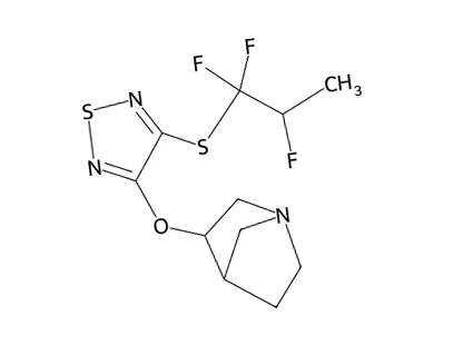 CC(F)C(F)(F)Sc1nsnc1OC1CN2CCC1C2